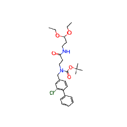 CCOC(CCNC(=O)CCN(Cc1ccc(-c2ccccc2)c(Cl)c1)C(=O)OC(C)(C)C)OCC